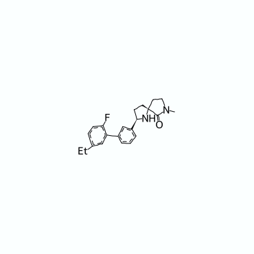 CCc1ccc(F)c(-c2cccc([C@H]3CC[C@]4(CCN(C)C4=O)N3)c2)c1